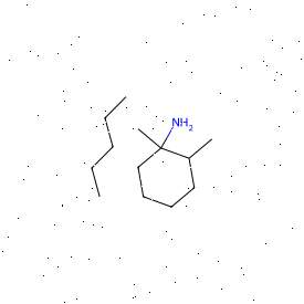 CC1CCCCC1(C)N.CCCCC